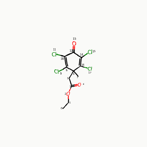 CCOC(=O)CC1(C)C(Cl)=C(Cl)C(=O)C(Cl)=C1Cl